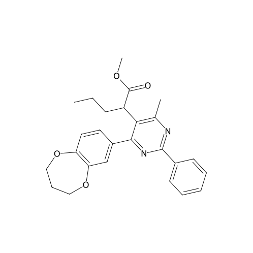 CCCC(C(=O)OC)c1c(C)nc(-c2ccccc2)nc1-c1ccc2c(c1)OCCCO2